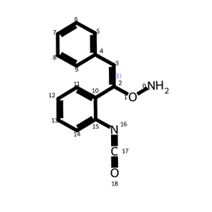 NO/C(=C/c1ccccc1)c1ccccc1N=C=O